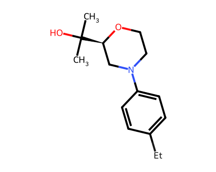 CCc1ccc(N2CCO[C@H](C(C)(C)O)C2)cc1